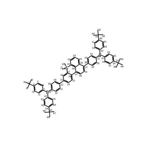 CC(C)(C)c1ccc(B(c2ccc(-c3ccc4c(c3)S(C)(C)c3cccc5c(-c6ccc(B(c7ccc(C(C)(C)C)cc7)c7ccc(C(C)(C)C)cc7)cc6)ccc-4c35)cc2)c2ccc(C(C)(C)C)cc2)cc1